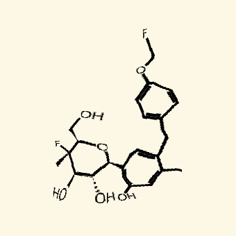 Cc1cc(O)c([C@@H]2O[C@H](CO)[C@@](C)(F)[C@H](O)[C@H]2O)cc1Cc1ccc(OCF)cc1